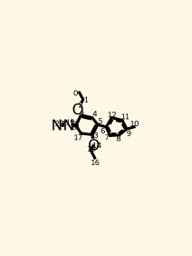 CCOC1=CC(c2ccc(C)cc2)=C(OCC)CC1=[N+]=[N-]